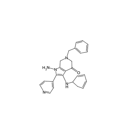 Nn1c2c(c(NC3C=CC=CC3)c1-c1ccncc1)C(=O)CN(Cc1ccccc1)C2